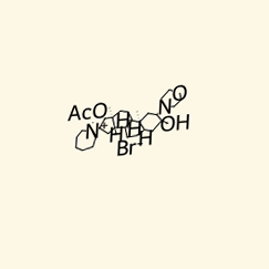 CC(=O)O[C@H]1[C@@H]([N+]2(C)CCCCCC2)C[C@H]2[C@@H]3CC[C@H]4C[C@H](O)[C@@H](N5CCOCC5)C[C@]4(C)[C@H]3CC[C@@]21C.[Br-]